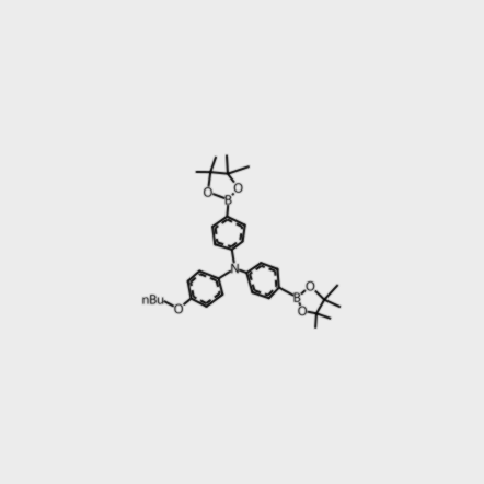 CCCCOc1ccc(N(c2ccc(B3OC(C)(C)C(C)(C)O3)cc2)c2ccc(B3OC(C)(C)C(C)(C)O3)cc2)cc1